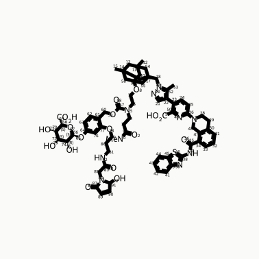 CNC(=O)CCN(CCOC12CC3(C)CC(C)(CC(Cn4ncc(-c5ccc(N6CCc7cccc(C(=O)Nc8nc9ccccc9s8)c7C6)nc5C(=O)O)c4C)(C3)C1)C2)C(=O)OCc1ccc(O[C@@H]2O[C@H](C(=O)O)[C@@H](O)[C@H](O)[C@H]2O)cc1OCCCNC(=O)CN1C(=O)C=CC1O